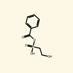 O=C(OP(=O)(O)CCO)c1ccccc1